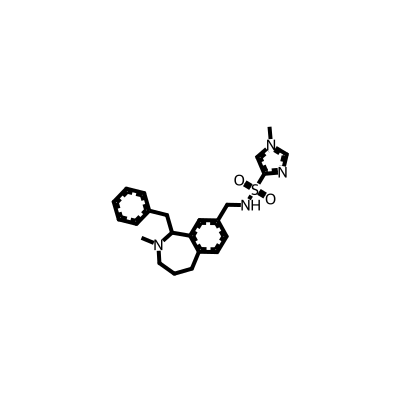 CN1CCCc2ccc(CNS(=O)(=O)c3cn(C)cn3)cc2C1Cc1ccccc1